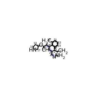 C=CCC(/C=N\N)=C\C(=C/C(=C)OC1CCNC1)c1c(C)cccc1F